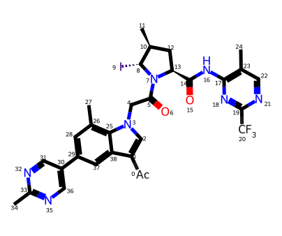 CC(=O)c1cn(CC(=O)N2[C@H](I)[C@@H](C)C[C@H]2C(=O)Nc2nc(C(F)(F)F)ncc2C)c2c(C)cc(-c3cnc(C)nc3)cc12